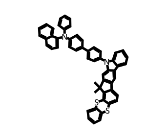 CC1(C)c2cc3c(cc2-c2ccc4c(c21)Sc1ccccc1S4)c1ccccc1n3-c1ccc(-c2ccc(N(c3ccccc3)c3cccc4ccccc34)cc2)cc1